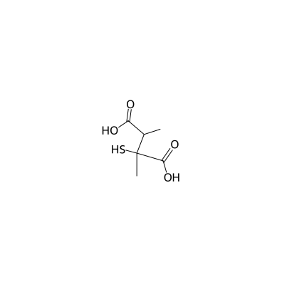 CC(C(=O)O)C(C)(S)C(=O)O